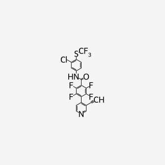 C#Cc1cnccc1-c1c(F)c(F)c(C(=O)Nc2ccc(SC(F)(F)F)c(Cl)c2)c(F)c1F